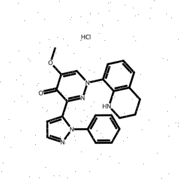 COc1cn(-c2cccc3c2NCCC3)nc(-c2ccnn2-c2ccccc2)c1=O.Cl